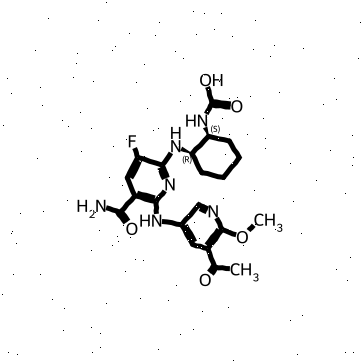 COc1ncc(Nc2nc(N[C@@H]3CCCC[C@@H]3NC(=O)O)c(F)cc2C(N)=O)cc1C(C)=O